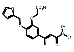 CCN(CC)C(=O)C=C(C)c1ccc(OCc2ccco2)c(OCC(=O)O)c1